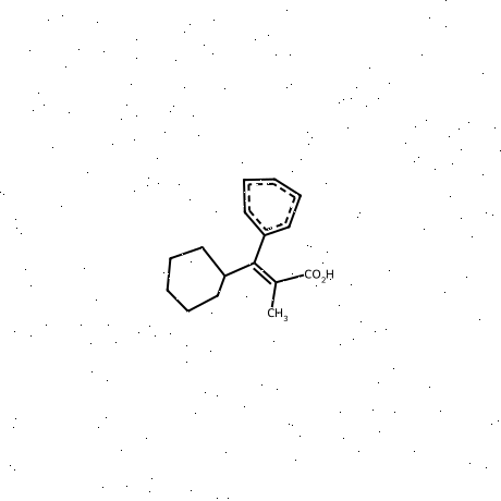 C/C(C(=O)O)=C(/c1ccccc1)C1CCCCC1